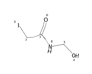 O=C(CI)NCO